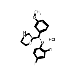 COc1cccc([C@H](Oc2ccc(F)cc2Cl)[C@@H]2CNCCO2)c1.Cl